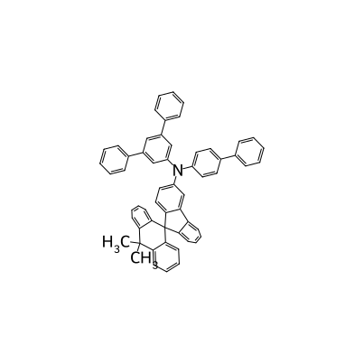 CC1(C)c2ccccc2C2(c3ccccc3-c3cc(N(c4ccc(-c5ccccc5)cc4)c4cc(-c5ccccc5)cc(-c5ccccc5)c4)ccc32)c2ccccc21